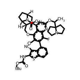 CC(Oc1nc2c3c(c(Cl)c(-c4cccc5sc(NC(=O)OC(C)(C)C)c(C#N)c45)c(F)c3n1)OC[C@@H]1[C@@H]3CC[C@H](CN21)N3C(=O)OC(C)(C)C)C12CCCN1CCC2